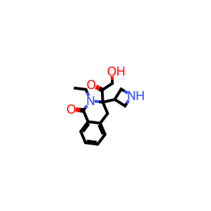 CCN1C(=O)c2ccccc2CC1(C(=O)CO)C1CNC1